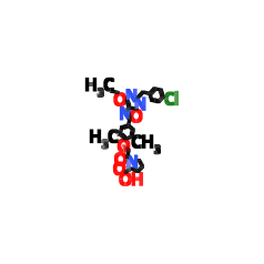 CCCOc1nc(Cc2ccc(Cl)cc2)nc2oc(-c3cc(C)c(OCC(=O)N4CCC[C@H]4C(=O)O)c(C)c3)nc12